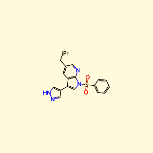 CC(C)Cc1cnc2c(c1)c(-c1cn[nH]c1)cn2S(=O)(=O)c1ccccc1